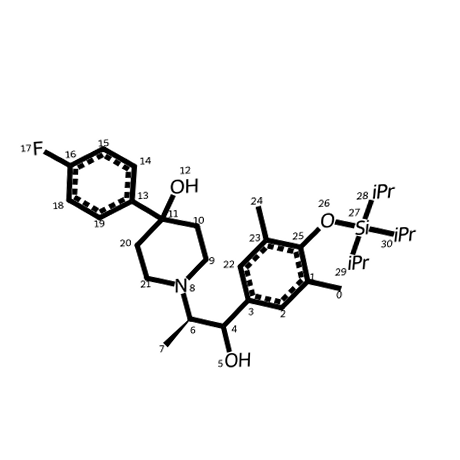 Cc1cc(C(O)[C@@H](C)N2CCC(O)(c3ccc(F)cc3)CC2)cc(C)c1O[Si](C(C)C)(C(C)C)C(C)C